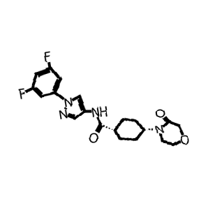 O=C1COCCN1[C@H]1CC[C@@H](C(=O)Nc2cnn(-c3cc(F)cc(F)c3)c2)CC1